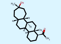 CC(=O)[C@H]1CCC[C@H]2[C@@H]3CC[C@@H]4CC[C@](C)(O)CC[C@@H]4[C@H]3CC[C@]12C